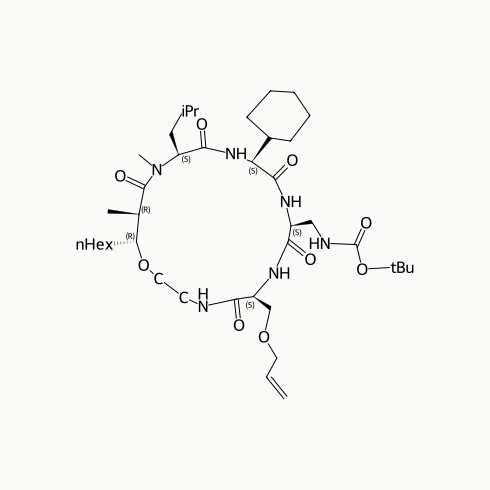 C=CCOC[C@@H]1NC(=O)[C@H](CNC(=O)OC(C)(C)C)NC(=O)[C@H](C2CCCCC2)NC(=O)[C@H](CC(C)C)N(C)C(=O)[C@H](C)[C@@H](CCCCCC)OCCNC1=O